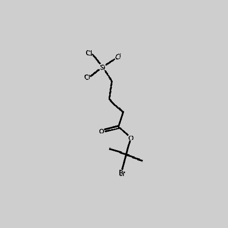 CC(C)(Br)OC(=O)CCC[Si](Cl)(Cl)Cl